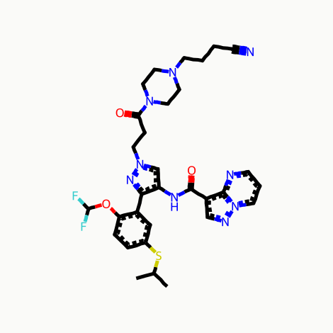 CC(C)Sc1ccc(OC(F)F)c(-c2nn(CCC(=O)N3CCN(CCCC#N)CC3)cc2NC(=O)c2cnn3cccnc23)c1